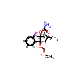 COCO[C@@](CC(C)C)(c1ccccc1I)C(C)(C)OC(N)=O